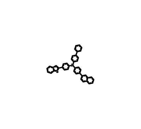 c1ccc(-c2ccc(N(c3ccc(-c4ccc5ccccc5c4)cc3)c3ccc(-c4cc5ccccc5s4)cc3)cc2)cc1